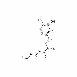 CCCCCC(C)C(=O)C=Cc1ccc(O)c(O)c1